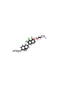 C/C=C/COc1ccc2cc([C@@H]3CC[C@@H]4CC(CCCCCCC)CCC4C3)c(F)c(F)c2c1F